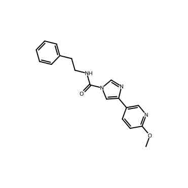 COc1ccc(-c2cn(C(=O)NCCc3ccccc3)cn2)cn1